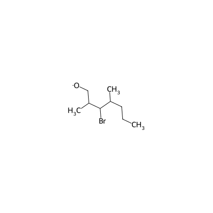 CCCC(C)C(Br)C(C)C[O]